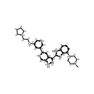 CN1CCN(c2cccc3[nH]c(-c4n[nH]c5cnc(-c6cncc(OCCN7CCCC7)c6)cc45)nc23)CC1